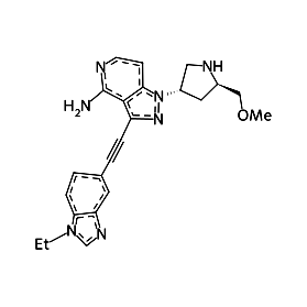 CCn1cnc2cc(C#Cc3nn([C@@H]4CN[C@@H](COC)C4)c4ccnc(N)c34)ccc21